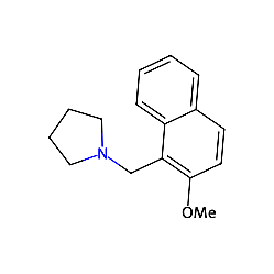 COc1ccc2ccccc2c1CN1CCCC1